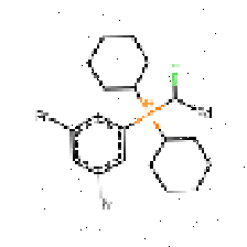 CC(C)c1cc(C(C)C)cc([PH]([CH](Cl)[Pd])(C2CCCCC2)C2CCCCC2)c1